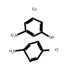 Cc1ccc(N)cc1.O=[N+]([O-])c1cccc(O)c1.[Cl-].[Cu]